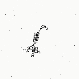 C=CCCCCCC(F)(F)C(F)(F)C(F)(F)C(F)(F)C(F)(F)C(F)(F)CCC(COC(=O)C(=C)C)COC(=O)C(=C)CO